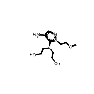 COCCn1ncc(N)c1N(CCO)CCO